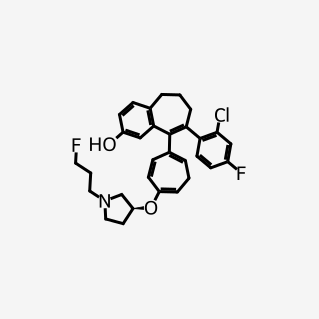 Oc1ccc2c(c1)C(C1=CCC=C(O[C@H]3CCN(CCCF)C3)C=C1)=C(c1ccc(F)cc1Cl)CCC2